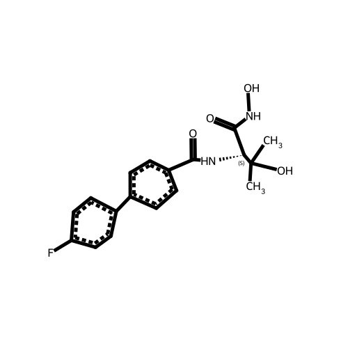 CC(C)(O)[C@H](NC(=O)c1ccc(-c2ccc(F)cc2)cc1)C(=O)NO